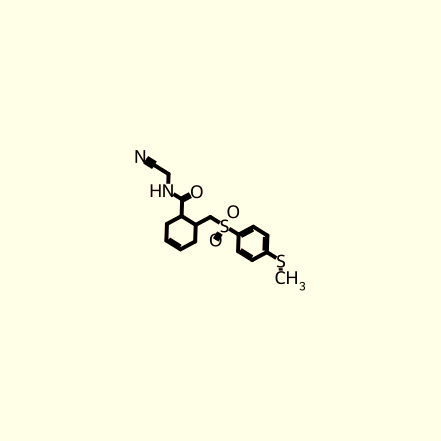 CSc1ccc(S(=O)(=O)CC2CC=CCC2C(=O)NCC#N)cc1